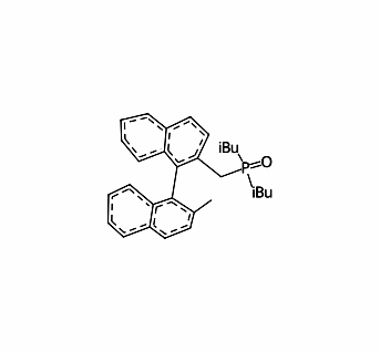 CCC(C)P(=O)(Cc1ccc2ccccc2c1-c1c(C)ccc2ccccc12)C(C)CC